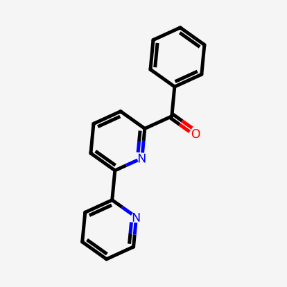 O=C(c1ccccc1)c1cccc(-c2ccccn2)n1